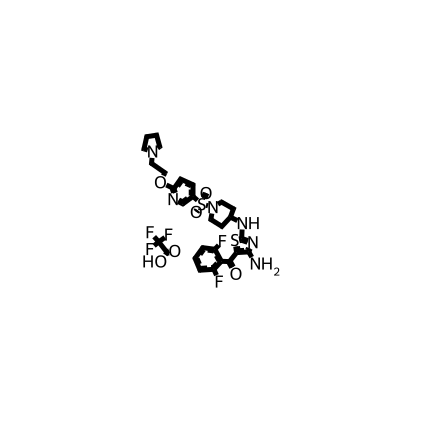 Nc1nc(NC2CCN(S(=O)(=O)c3ccc(OCCN4CCCC4)nc3)CC2)sc1C(=O)c1c(F)cccc1F.O=C(O)C(F)(F)F